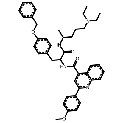 CCN(CC)CCCC(C)NC(=O)C(Cc1ccc(OCc2ccccc2)cc1)NC(=O)c1cc(-c2ccc(OC)cc2)nc2ccccc12